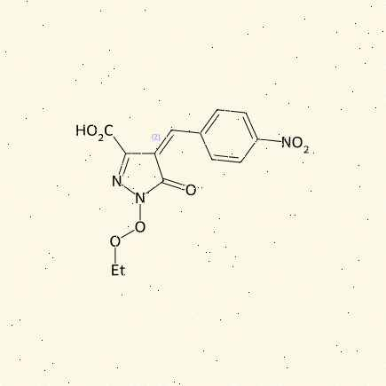 CCOON1N=C(C(=O)O)/C(=C/c2ccc([N+](=O)[O-])cc2)C1=O